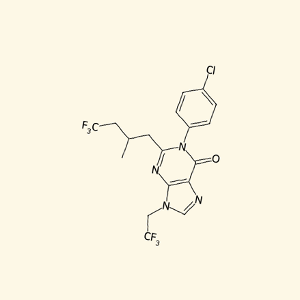 CC(Cc1nc2c(ncn2CC(F)(F)F)c(=O)n1-c1ccc(Cl)cc1)CC(F)(F)F